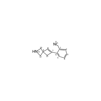 N#Cc1ccccc1C1=CC2(CNC2)C1